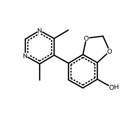 Cc1ncnc(C)c1-c1ccc(O)c2c1OCO2